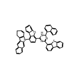 C1=Cc2c(c3cc4ccccc4cc3n2-c2ccc(C3=NC(c4cccc5c4sc4ccccc45)=NC(c4cccc5ccccc45)N3)c3oc4ccccc4c23)CC1